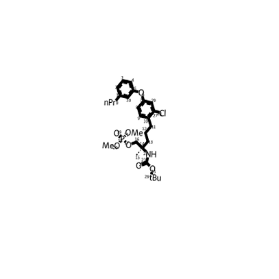 CCCc1cccc(Oc2ccc(CCC[C@](C)(COP(=O)(OC)OC)NC(=O)OC(C)(C)C)c(Cl)c2)c1